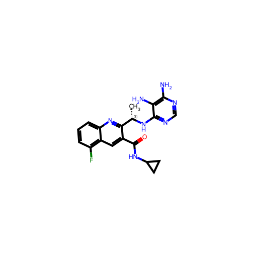 C[C@H](Nc1ncnc(N)c1N)c1nc2cccc(F)c2cc1C(=O)NC1CC1